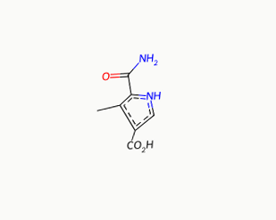 Cc1c(C(=O)O)c[nH]c1C(N)=O